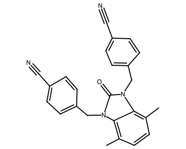 Cc1ccc(C)c2c1n(Cc1ccc(C#N)cc1)c(=O)n2Cc1ccc(C#N)cc1